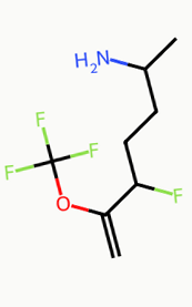 C=C(OC(F)(F)F)C(F)CCC(C)N